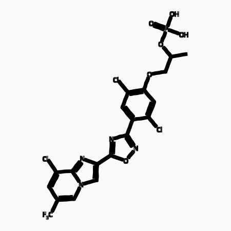 CC(COc1cc(Cl)c(-c2noc(-c3cn4cc(C(F)(F)F)cc(Cl)c4n3)n2)cc1Cl)OP(=O)(O)O